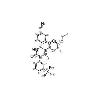 CCOC(=O)[C@H](C)OC(=O)C1=C(C)N(c2cccc(C(F)(F)F)c2)C(=O)NC1c1ccc(C#N)cc1